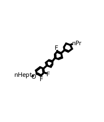 CCCCCCCOc1ccc(-c2ccc(-c3ccc(C4=CCC(CCC)CC4)c(F)c3)cc2)c(F)c1F